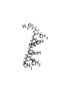 CCCCC(CCCC)CCCC(CCOCCC(CCCC(CCCC)CCCC)CC(O)=S)CC(O)=S